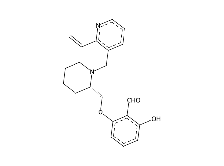 C=Cc1ncccc1CN1CCCC[C@H]1COc1cccc(O)c1C=O